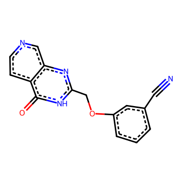 N#Cc1cccc(OCc2nc3cnccc3c(=O)[nH]2)c1